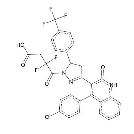 O=C(O)CC(F)(F)C(=O)N1N=C(c2c(-c3ccc(Cl)cc3)c3ccccc3[nH]c2=O)CC1c1ccc(C(F)(F)F)cc1